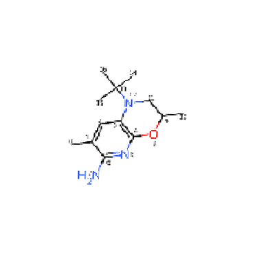 Cc1cc2c(nc1N)OC(C)CN2C(C)(C)C